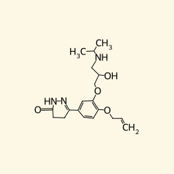 C=CCOc1ccc(C2=NNC(=O)CC2)cc1OCC(O)CNC(C)C